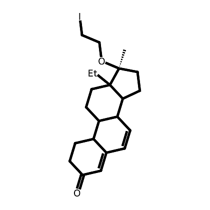 CCC12CCC3C4CCC(=O)C=C4C=CC3C1CC[C@]2(C)OCCI